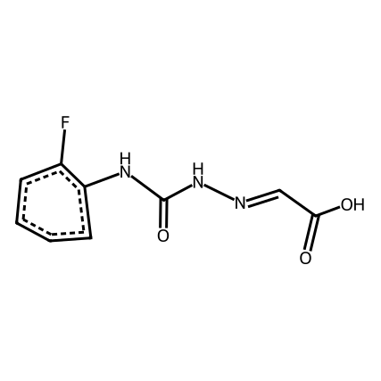 O=C(O)/C=N/NC(=O)Nc1ccccc1F